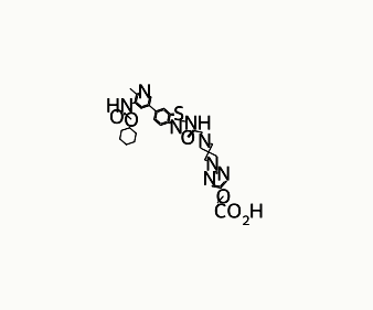 Cc1ncc(-c2ccc3nc(NC(=O)CN4CC5(C4)CN(c4ncc(OCC(=O)O)cn4)C5)sc3c2)cc1NC(=O)OC1CCCCC1